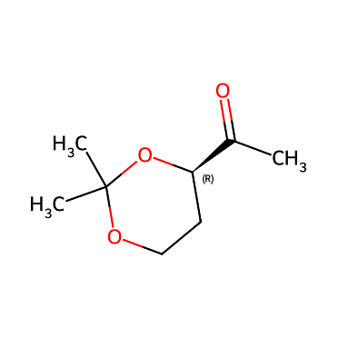 CC(=O)[C@H]1CCOC(C)(C)O1